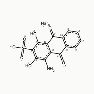 Nc1c(O)c(S(=O)(=O)[O-])c(O)c2c1C(=O)c1ccccc1C2=O.[Na+]